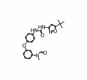 CN(C=O)c1cccc(Oc2ccc(NC(=O)Nc3cc(C(C)(C)C)on3)cc2)c1